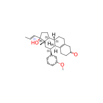 C/C=C/[C@]1(O)CC[C@H]2[C@@H]3CCC4=C(CCC(=O)C4)[C@H]3[C@@H](c3cccc(OC)c3)C[C@@]21C